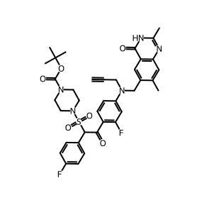 C#CCN(Cc1cc2c(=O)[nH]c(C)nc2cc1C)c1ccc(C(=O)C(c2ccc(F)cc2)S(=O)(=O)N2CCN(C(=O)OC(C)(C)C)CC2)c(F)c1